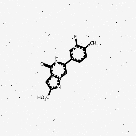 Cc1ccc(-c2cn3nc(C(=O)O)cc3c(=O)[nH]2)cc1F